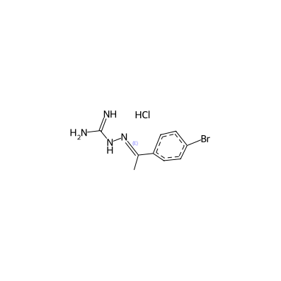 C/C(=N\NC(=N)N)c1ccc(Br)cc1.Cl